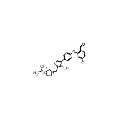 CN(C)[C@H]1CCN(Cc2ncc(-c3ccc(Oc4cc(Cl)ccc4C=O)cc3)n2C)C1